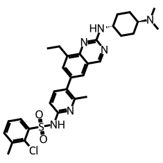 CCc1cc(-c2ccc(NS(=O)(=O)c3cccc(C)c3Cl)nc2C)cc2cnc(N[C@H]3CC[C@H](N(C)C)CC3)nc12